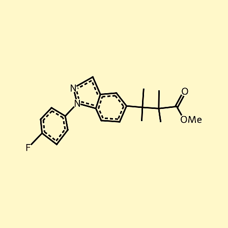 COC(=O)C(C)(C)C(C)(C)c1ccc2c(cnn2-c2ccc(F)cc2)c1